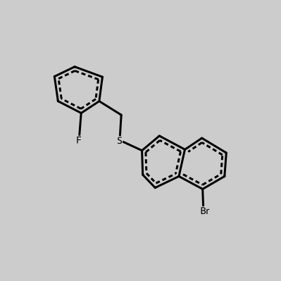 Fc1ccccc1CSc1ccc2c(Br)cccc2c1